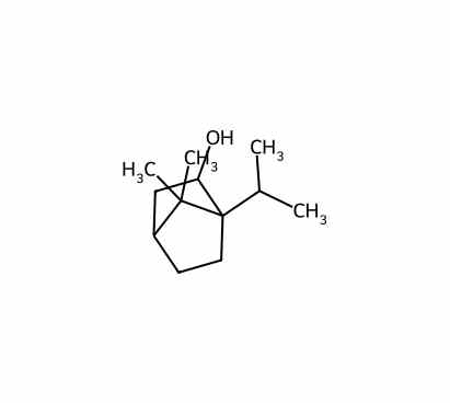 CC(C)C12CCC(CC1O)C2(C)C